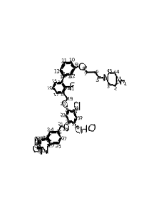 CN1CCN(CCCOc2cccc(-c3cccc(COc4cc(OCc5ccc6nonc6c5)c(C=O)cc4Cl)c3F)c2)CC1